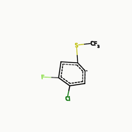 Fc1cc(SC(F)(F)F)[c]cc1Cl